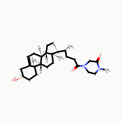 C[C@H](CCC(=O)N1CCN(C)C(=O)C1)[C@H]1CC[C@H]2[C@@H]3CC=C4C[C@@H](O)CC[C@]4(C)[C@H]3CC[C@]12C